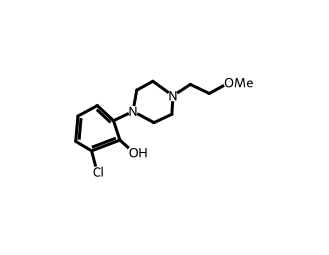 COCCN1CCN(c2cccc(Cl)c2O)CC1